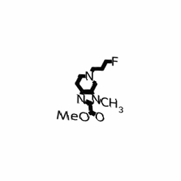 COC(=O)c1nc2c(n1C)CN(CCCF)CC2